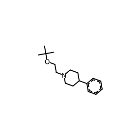 CC(C)(C)OCCN1CCC(c2ccccc2)CC1